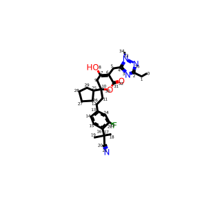 CCc1nc(CC2=C(O)CC(CCc3ccc(C(C)(C)C#N)c(F)c3)(C3CCCC3)OC2=O)n(C)n1